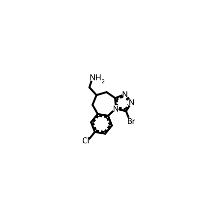 NCC1Cc2cc(Cl)ccc2-n2c(Br)nnc2C1